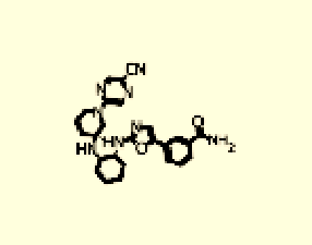 C[C@]1(N[C@@H]2CCCC[C@H]2Nc2ncc(-c3cccc(C(N)=O)c3)o2)CCCN(c2cnc(C#N)cn2)C1